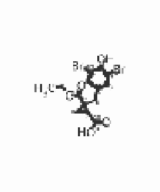 CCOC(=O)[C@@]1(Cc2cc(Br)c(O)c(Br)c2)CC1C(=O)O